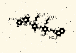 Cc1cc(S(=O)(=O)O)c2nc3c(C#N)c(C)c(N=Nc4cc(C)c(N=Nc5cc(CO)c(N=Nc6nc7c(S(=O)(=O)O)cc8ccccc8c7s6)cc5SCCCS(=O)(=O)O)cc4OCCCS(=O)(=O)O)c(O)n3c2c1